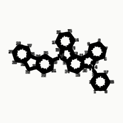 c1ccc(-n2c3ccccc3c3c4c5ccccc5n(-c5ccc6c(c5)-c5ccccc5C6)c4ccc32)cc1